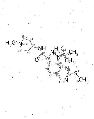 CSc1ncc2ccc3c(C(=O)NC4CCN(C)CC4)nn(C(C)(C)C)c3c2n1